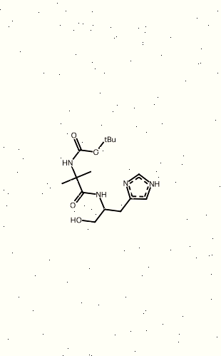 CC(C)(C)OC(=O)NC(C)(C)C(=O)NC(CO)Cc1c[nH]cn1